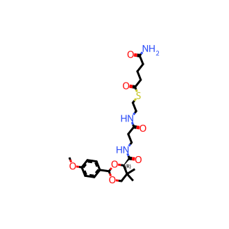 COc1ccc(C2OCC(C)(C)[C@H](C(=O)NCCC(=O)NCCSC(=O)CCCC(N)=O)O2)cc1